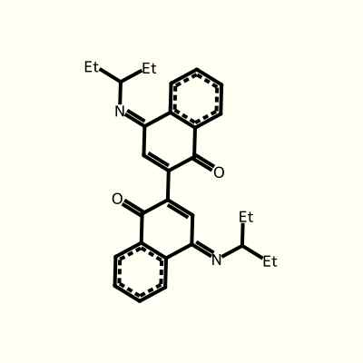 CCC(CC)/N=C1/C=C(C2=C/C(=N\C(CC)CC)c3ccccc3C2=O)C(=O)c2ccccc21